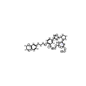 CC(C)(C)OC(=O)/N=C(\NC(=O)OC(C)(C)C)N1CCCC1c1nc(-c2ccc(OCCCc3ccc4c(c3)OCCO4)c(C(F)(F)F)c2)no1